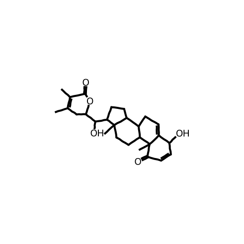 CC1=C(C)C(=O)OC(C(O)C2CCC3C4CC=C5C(O)C=CC(=O)C5(C)C4CCC23C)C1